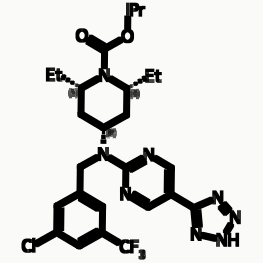 CC[C@@H]1C[C@H](N(Cc2cc(Cl)cc(C(F)(F)F)c2)c2ncc(-c3nn[nH]n3)cn2)C[C@H](CC)N1C(=O)OC(C)C